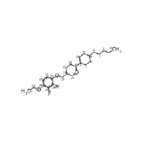 CCCCCC1CCC(C2CCC(COc3ccc(OCC)c(F)c3F)CO2)CC1